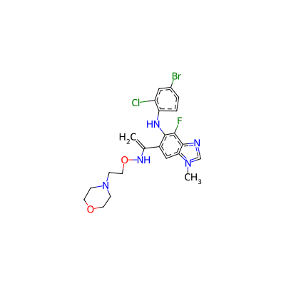 C=C(NOCCN1CCOCC1)c1cc2c(ncn2C)c(F)c1Nc1ccc(Br)cc1Cl